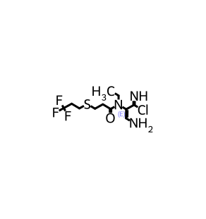 CCN(C(=O)CCSCCC(F)(F)F)/C(=C/N)C(=N)Cl